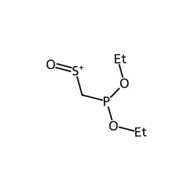 CCOP(C[S+]=O)OCC